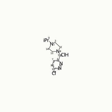 CC(C)N1CCN(Cc2ccc(Cl)nn2)CC1.Cl